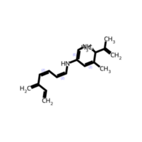 C=CC(=C)/C=C\C=C/NC(/C=C(/C)C(C)C(=C)C)=C/N